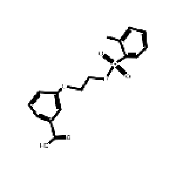 Cc1ccccc1S(=O)(=O)OCCOc1cccc(C(=O)O)c1